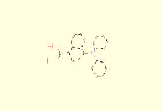 OB(O)c1ccc(N(c2ccccc2)c2ccccc2)c2ccccc12